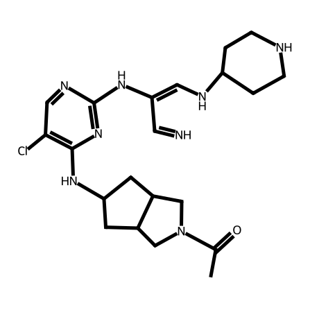 CC(=O)N1CC2CC(Nc3nc(N/C(C=N)=C/NC4CCNCC4)ncc3Cl)CC2C1